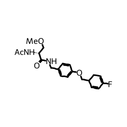 COC[C@@H](NC(C)=O)C(=O)NCc1ccc(OCC2C=CC(F)=CC2)cc1